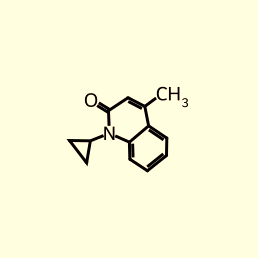 Cc1cc(=O)n(C2CC2)c2ccccc12